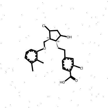 Cc1cccc(OC[C@H]2C(Cl)CC(O)[C@@H]2CCc2ccc(C(=O)O)c(Cl)c2)c1C